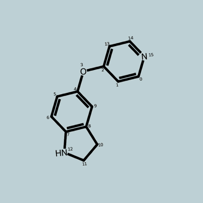 c1cc(Oc2ccc3c(c2)CCN3)ccn1